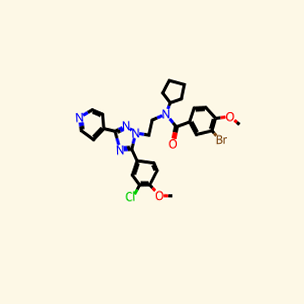 COc1ccc(-c2nc(-c3ccncc3)nn2CCN(C(=O)c2ccc(OC)c(Br)c2)C2CCCC2)cc1Cl